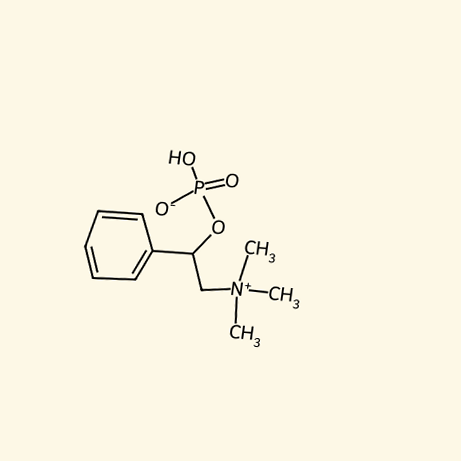 C[N+](C)(C)CC(OP(=O)([O-])O)c1ccccc1